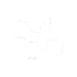 CCOP(C=O)(c1ccccc1)(c1ccccc1)c1ccccc1